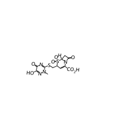 Cn1nc(O)c(=O)nc1SCC1C=C(C(=O)O)N2C(=O)C[C@H]2S1(=O)=O